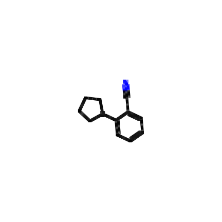 N#Cc1ccccc1B1CCCC1